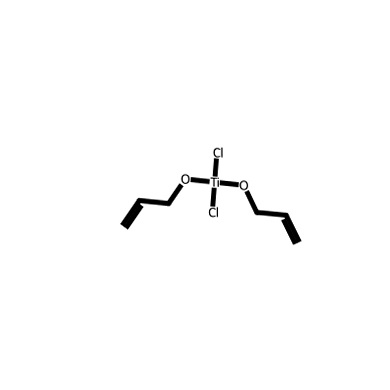 C=CC[O][Ti]([Cl])([Cl])[O]CC=C